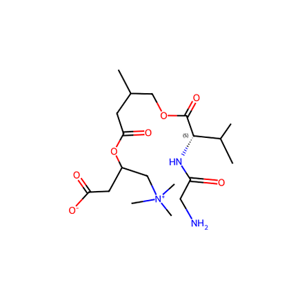 CC(COC(=O)[C@@H](NC(=O)CN)C(C)C)CC(=O)OC(CC(=O)[O-])C[N+](C)(C)C